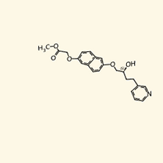 COC(=O)COc1ccc2cc(OC[C@@H](O)CCc3cccnc3)ccc2c1